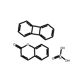 O=[PH](O)O.O=c1ccc2ccccc2o1.c1ccc2c(c1)-c1ccccc1-2